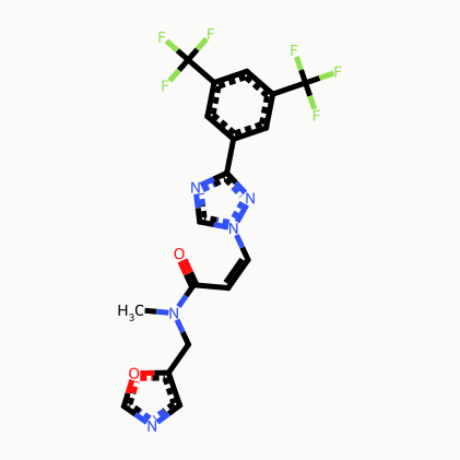 CN(Cc1cnco1)C(=O)/C=C\n1cnc(-c2cc(C(F)(F)F)cc(C(F)(F)F)c2)n1